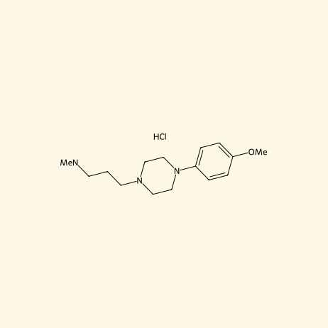 CNCCCN1CCN(c2ccc(OC)cc2)CC1.Cl